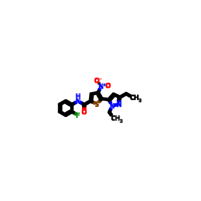 CCc1cc(-c2sc(C(=O)Nc3ccccc3F)cc2[N+](=O)[O-])n(CC)n1